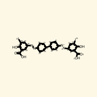 O=C(O)c1cc(N=Nc2ccc(-c3ccc(N=Nc4cc(I)c(O)c(C(=O)O)c4)cc3)cc2)cc(I)c1O